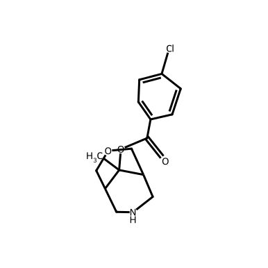 CC1(OC(=O)c2ccc(Cl)cc2)C2CNCC1COC2